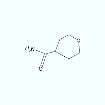 NC(=O)[C]1CCOCC1